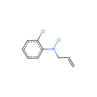 C=CCN(Cl)c1ccccc1Cl